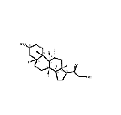 CC(=O)O[C@H]1CC[C@@]2(C)[C@H](CC[C@@H]3[C@@H]2[C@H](F)C[C@]2(C)[C@@H](C(=O)CO)CC[C@@H]32)C1